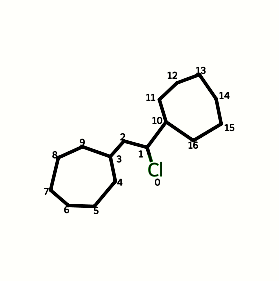 ClC(CC1CCCCCC1)C1CCCCCC1